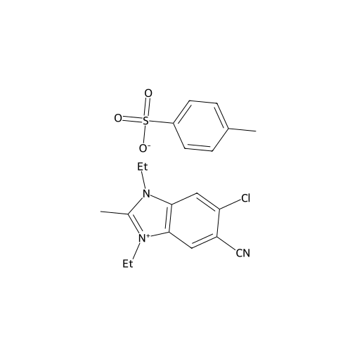 CCn1c(C)[n+](CC)c2cc(C#N)c(Cl)cc21.Cc1ccc(S(=O)(=O)[O-])cc1